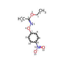 CCO/C(C)=N/Oc1ccc([N+](=O)[O-])cc1